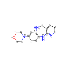 c1cnc2c(c1)CNc1cc(N3CCOCC3)ccc1N2